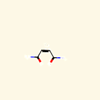 NC(=O)/C=C\C(N)=O.[Na]